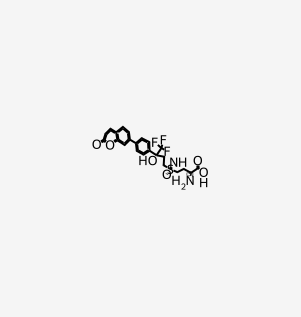 N=S(=O)(CC[C@H](N)C(=O)O)CCC(O)(c1ccc(-c2ccc3ccc(=O)oc3c2)cc1)C(F)(F)F